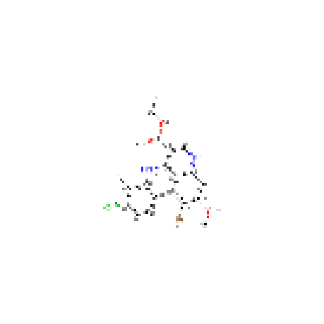 CCOC(=O)c1cnc2cc(OC)c(Br)cc2c1Nc1cccc(Cl)c1C